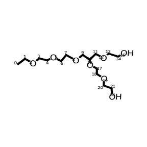 CCOCCOCCOCC(COCCO)OCCOCCO